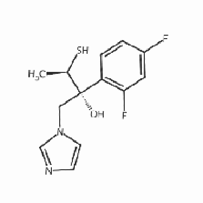 C[C@@H](S)[C@](O)(Cn1ccnc1)c1ccc(F)cc1F